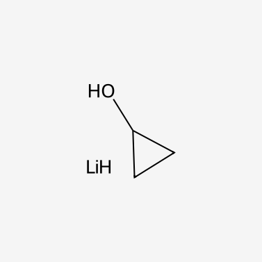 OC1CC1.[LiH]